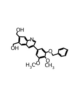 COc1cc(-c2cnc3cc(CO)c(CO)cc3c2)cc(OCc2ccccc2)c1OC